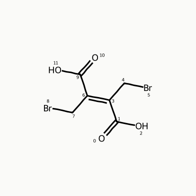 O=C(O)/C(CBr)=C(\CBr)C(=O)O